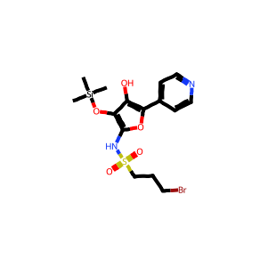 C[Si](C)(C)Oc1c(NS(=O)(=O)CCCBr)oc(-c2ccncc2)c1O